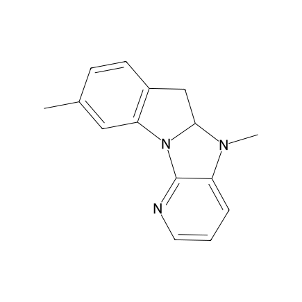 Cc1ccc2c(c1)N1c3ncccc3N(C)C1C2